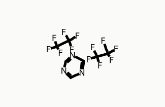 FC(F)(F)C(F)(F)F.FC(F)(F)C(F)(F)F.c1ncncn1